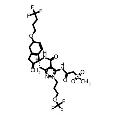 C=C1CC2=C(C=CC(OCCCC(F)(F)F)C2)[C@]12Cc1nn(CCCOC(F)(F)F)c(NC(=O)CS(C)(=O)=O)c1C(=O)N2